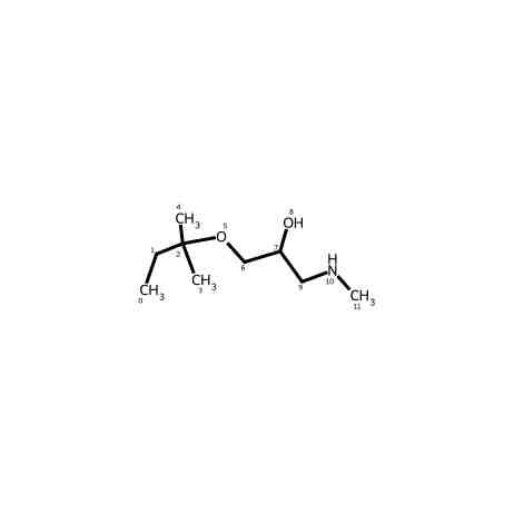 CCC(C)(C)OCC(O)CNC